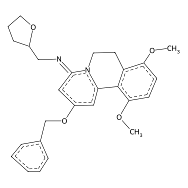 COc1ccc(OC)c2c1CCn1c-2cc(OCc2ccccc2)cc1=NCC1CCCO1